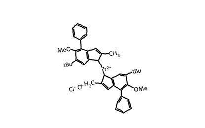 COc1c(C(C)(C)C)cc2c(c1-c1ccccc1)C=C(C)[CH]2[Zr+2][CH]1C(C)=Cc2c1cc(C(C)(C)C)c(OC)c2-c1ccccc1.[Cl-].[Cl-]